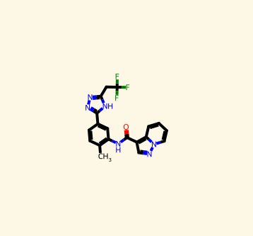 Cc1ccc(-c2nnc(CC(F)(F)F)[nH]2)cc1NC(=O)c1cnn2ccccc12